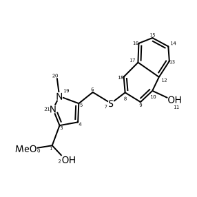 COC(O)c1cc(CSc2cc(O)c3ccccc3c2)n(C)n1